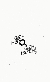 CC(C)(C)[Si](C)(C)OCc1ccc(P(=O)(O)O)cc1